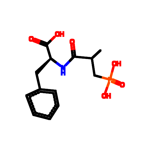 CC(CP(=O)(O)O)C(=O)N[C@@H](Cc1ccccc1)C(=O)O